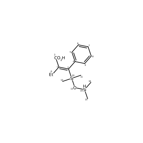 CCC(C(=O)O)=C(c1ccccc1)[Si](C)(C)O[SiH](C)C